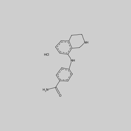 Cl.NC(=O)c1ccc(Nc2cccc3c2CNCC3)cc1